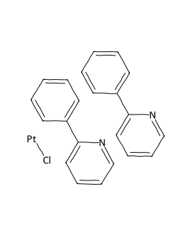 [Cl][Pt].c1ccc(-c2ccccn2)cc1.c1ccc(-c2ccccn2)cc1